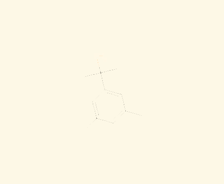 [CH2]C(C)(P)c1cc(C)cc(C)c1